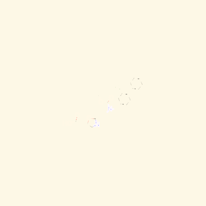 CC(C)(C)OC(=O)N(CCc1ncc(CC(=O)O)o1)Cc1ccc(-c2ccccc2)c(Cl)c1